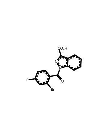 O=C(O)c1nn(C(=O)c2ccc(F)cc2Br)c2ccccc12